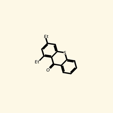 CCc1cc(CC)c2c(=O)c3ccccc3sc2c1